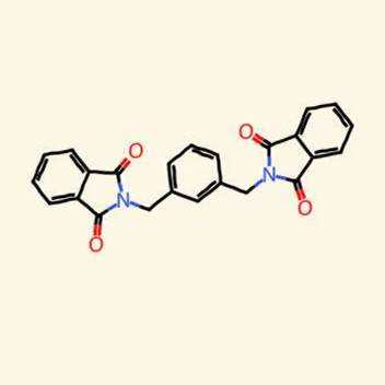 O=C1c2ccccc2C(=O)N1Cc1cccc(CN2C(=O)c3ccccc3C2=O)c1